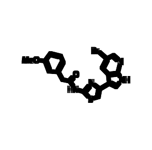 COc1cccc(CC(=O)Nc2nc(-c3c[nH]c4ncc(Br)cc34)cs2)c1